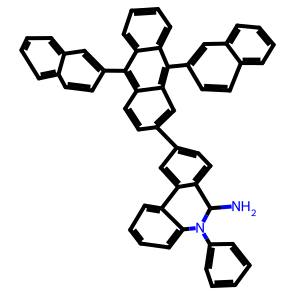 NC1c2ccc(-c3ccc4c(-c5ccc6ccccc6c5)c5ccccc5c(-c5ccc6ccccc6c5)c4c3)cc2-c2ccccc2N1c1ccccc1